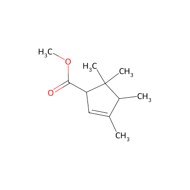 COC(=O)C1C=C(C)C(C)C1(C)C